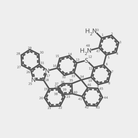 Nc1cccc(-c2cccc3c2Sc2ccc(-n4c(-c5ccccc5)nc5ccccc54)cc2C32c3ccccc3-c3ccccc32)c1N